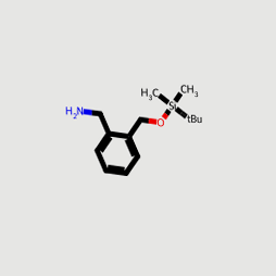 CC(C)(C)[Si](C)(C)OCc1ccccc1CN